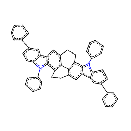 c1ccc(-c2ccc3c(c2)c2cc4c5c(c2n3-c2ccccc2)CCc2cc3c6cc(-c7ccccc7)ccc6n(-c6ccccc6)c3c(c2-5)CC4)cc1